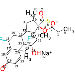 CCC(=O)O[C@]1(C([O-])=S)[C@H](C)CC2C3C[C@H](F)C4=CC(=O)C=C[C@]4(C)[C@]3(F)[C@@H](O)C[C@@]21C.[Na+]